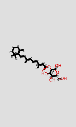 CC1=C(/C=C/C(C)=C/C=C/C(C)=C/C(=O)O[C@@H]2[C@@H](O)[C@H](O)[C@@H](CO)O[C@H]2O)C(C)(C)CCC1